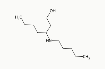 CCCCCNC(CCO)CCCC